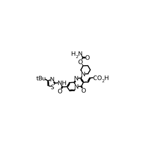 CC(C)(C)c1csc(NC(=O)c2ccn3c(=O)c(/C=C/C(=O)O)c(N4CCC[C@H](OC(N)=O)C4)nc3c2)n1